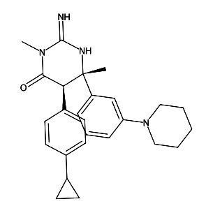 CN1C(=N)N[C@](C)(c2cccc(N3CCCCC3)c2)[C@@H](c2ccc(C3CC3)cc2)C1=O